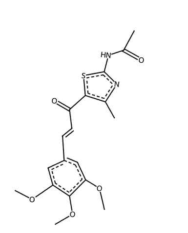 COc1cc(C=CC(=O)c2sc(NC(C)=O)nc2C)cc(OC)c1OC